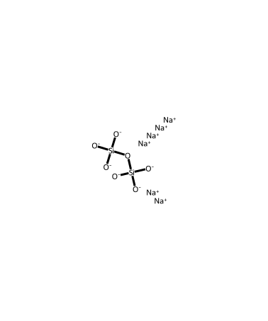 [Na+].[Na+].[Na+].[Na+].[Na+].[Na+].[O-][Si]([O-])([O-])O[Si]([O-])([O-])[O-]